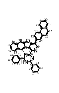 c1ccc(C2=NC(c3ncc(-c4ccc5c(ccc6ccccc65)c4)c4oc5cc6ccccc6cc5c34)=NC(c3ccccc3)N2)cc1